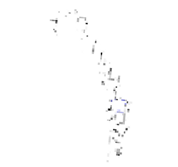 C=C(CN)CCC(C)N(C)c1ccc(C2CCN(CC(=C)N3CCN(c4ncc(C5=C/C(=C)/C(C(=C)c6c(F)ccc(NSN(C)CC)c6F)=C\N/N=C\5)cn4)CC3)CC2)cc1